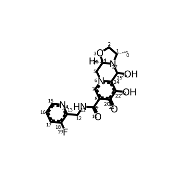 C[C@H]1CO[C@@H]2Cn3cc(C(=O)NCc4ncccc4F)c(=O)c(O)c3C(O)N12